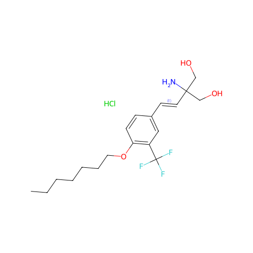 CCCCCCCOc1ccc(/C=C/C(N)(CO)CO)cc1C(F)(F)F.Cl